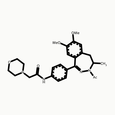 COc1cc2c(cc1OC)C(c1ccc(NC(=O)CN3CCOCC3)cc1)=NN(C(C)=O)C(C)C2